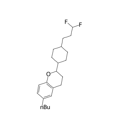 CCCCc1ccc2c(c1)CCC(C1CCC(CCC(F)F)CC1)O2